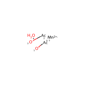 CC(=O)[O-].CC(=O)[O-].O.[Mn+2]